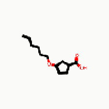 CCCCCCOC1CCC(C(=O)O)C1